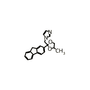 CC1COC(Cn2ccnc2)(c2ccc3c(c2)Cc2ccccc2-3)O1